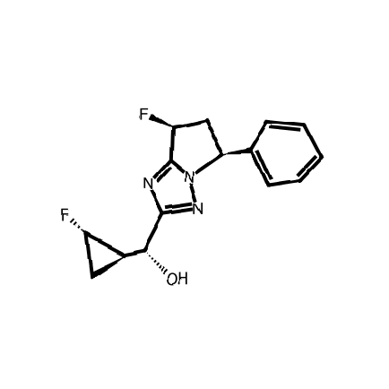 O[C@@H](c1nc2n(n1)[C@H](c1ccccc1)C[C@@H]2F)[C@H]1C[C@@H]1F